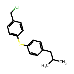 CC(C)Cc1ccc(Sc2ccc(CCl)cc2)cc1